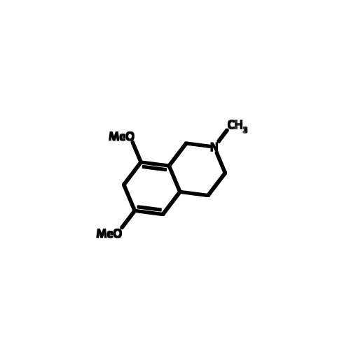 COC1=CC2CCN(C)CC2=C(OC)C1